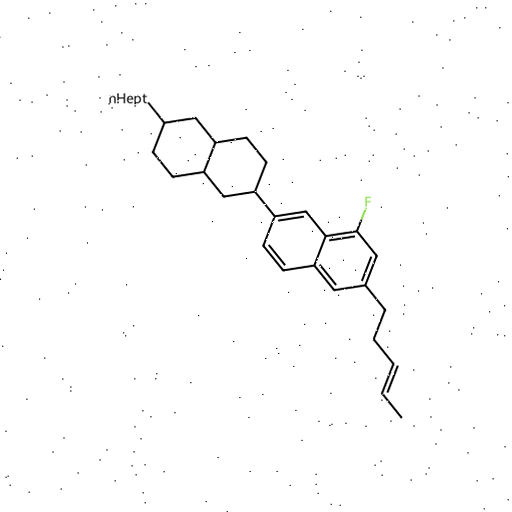 CC=CCCc1cc(F)c2cc(C3CCC4CC(CCCCCCC)CCC4C3)ccc2c1